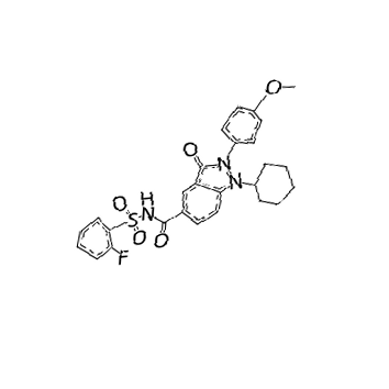 COc1ccc(-n2c(=O)c3cc(C(=O)NS(=O)(=O)c4ccccc4F)ccc3n2C2CCCCC2)cc1